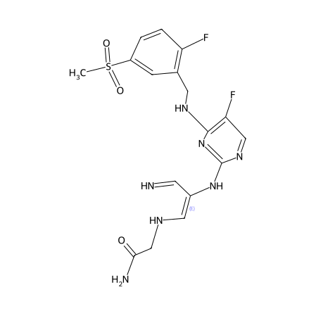 CS(=O)(=O)c1ccc(F)c(CNc2nc(N/C(C=N)=C/NCC(N)=O)ncc2F)c1